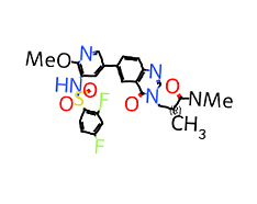 CNC(=O)[C@H](C)Cn1cnc2ccc(-c3cnc(OC)c(NS(=O)(=O)c4ccc(F)cc4F)c3)cc2c1=O